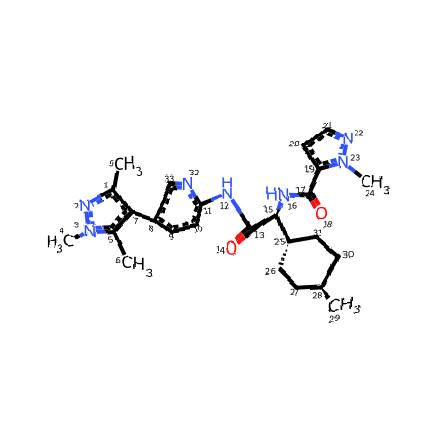 Cc1nn(C)c(C)c1-c1ccc(NC(=O)[C@@H](NC(=O)c2ccnn2C)[C@H]2CC[C@H](C)CC2)nc1